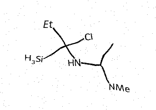 CCC([SiH3])(Cl)NC(C)NC